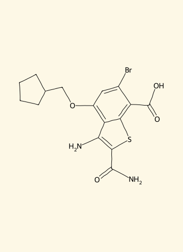 NC(=O)c1sc2c(C(=O)O)c(Br)cc(OCC3CCCC3)c2c1N